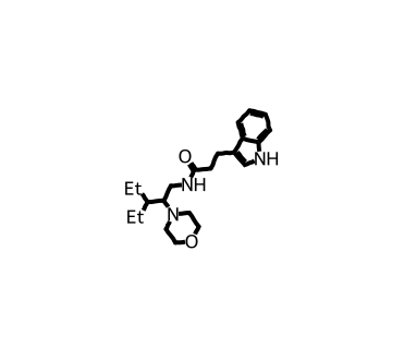 CCC(CC)C(CNC(=O)CCc1c[nH]c2ccccc12)N1CCOCC1